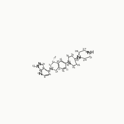 C[C@H]1CN(c2ccnc3c2cnn3C)Cc2ccc(N3CCC(N4CCNCC4)CC3)cc21